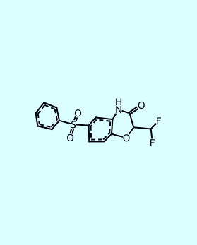 O=C1Nc2cc(S(=O)(=O)c3ccccc3)ccc2OC1C(F)F